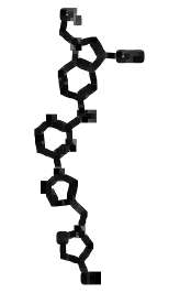 O=Cc1cn(CC(F)(F)F)c2ccc(Nc3nccc(-n4cc(CN5CC(O)CO5)cn4)n3)cc12